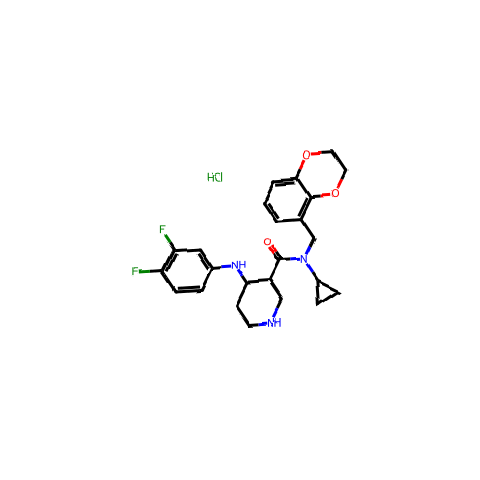 Cl.O=C(C1CNCCC1Nc1ccc(F)c(F)c1)N(Cc1cccc2c1OCCO2)C1CC1